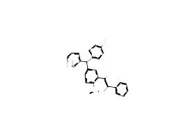 C=Nc1ccc(C(c2ccc(Cl)cc2)c2cccnc2)cc1/C(Cl)=C(\C)c1ccccc1